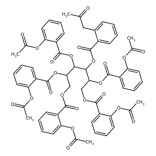 CC(=O)Cc1ccccc1C(=O)OC(C(COC(=O)c1ccccc1OC(C)=O)OC(=O)c1ccccc1OC(C)=O)C(OC(=O)c1ccccc1OC(C)=O)C(COC(=O)c1ccccc1OC(C)=O)OC(=O)c1ccccc1OC(C)=O